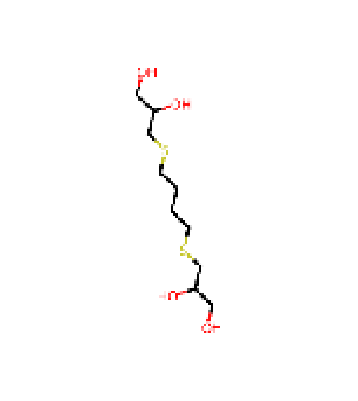 OCC(O)CSCCCCSCC(O)CO